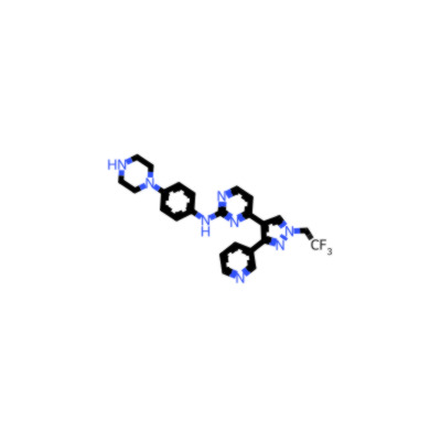 FC(F)(F)Cn1cc(-c2ccnc(Nc3ccc(N4CCNCC4)cc3)n2)c(-c2cccnc2)n1